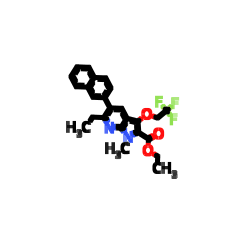 CCOC(=O)c1c(OCC(F)(F)F)c2cc(-c3ccc4ccccc4c3)c(CC)nc2n1C